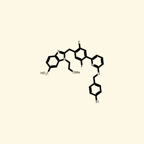 CCc1ccc(COc2cccc(-c3cc(F)c(Cc4nc5ccc(C(=O)O)cc5n4CCOC)cc3F)n2)cc1